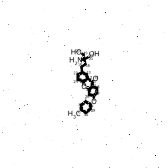 Cc1ccc(Oc2ccc3c(=O)c4cc(CCC(N)(CO)CO)ccc4oc3c2)cc1